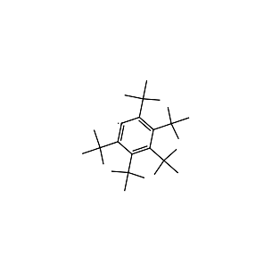 CC(C)(C)c1[c]c(C(C)(C)C)c(C(C)(C)C)c(C(C)(C)C)c1C(C)(C)C